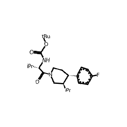 CC(C)[C@H](NC(=O)OC(C)(C)C)C(=O)N1CC[C@H](c2ccc(F)cc2)[C@@H](C(C)C)C1